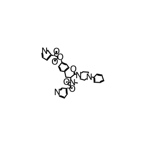 CN(C(Cc1ccc(OS(=O)(=O)c2cccnc2)cc1)C(=O)N1CCN(c2ccccc2)CC1)S(=O)(=O)c1cccnc1